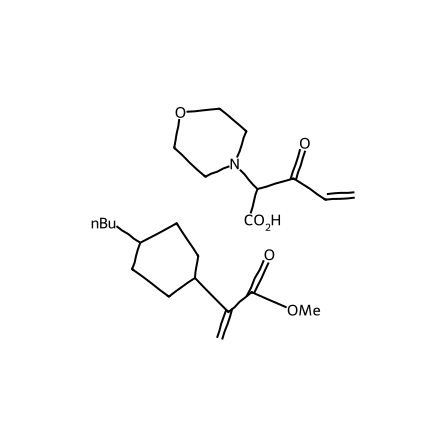 C=C(C(=O)OC)C1CCC(CCCC)CC1.C=CC(=O)C(C(=O)O)N1CCOCC1